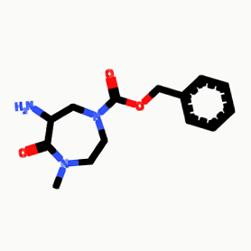 CN1CCN(C(=O)OCc2ccccc2)CC(N)C1=O